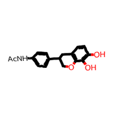 CC(=O)Nc1ccc(C2COc3c(ccc(O)c3O)C2)cc1